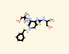 CC(CO)Nc1nc2c(s1)CN(SCc1ccccc1)C=C2NC(C)(C)CO